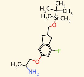 CC(N)COc1cc(F)c2c(c1)CC(CO[Si](C)(C)C(C)(C)C)C2